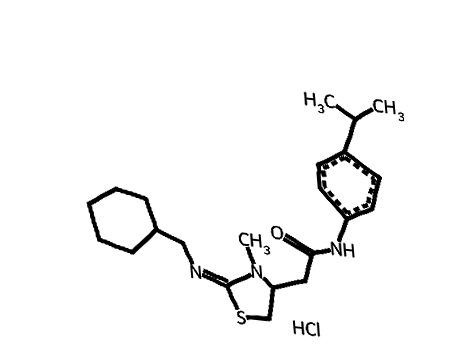 CC(C)c1ccc(NC(=O)CC2CS/C(=N/CC3CCCCC3)N2C)cc1.Cl